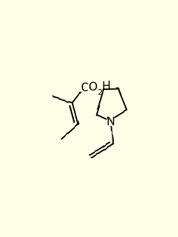 C=CN1CCCC1.CC=C(C)C(=O)O